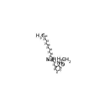 C=CC(=O)Nc1ccccc1CCCCCCCCCCCCCCC.[NaH]